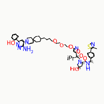 Cc1ncsc1-c1ccc([C@H](C)NC(=O)[C@@H]2C[C@@H](O)CN2C(=O)[C@H](c2cc(OCCOCCOCCCCC3CCC4(CC3)CCN(c3cc(-c5ccccc5O)nnc3N)CC4)no2)C(C)C)cc1